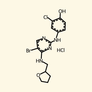 Cl.Oc1ccc(Nc2ncc(Br)c(NCC3CCCO3)n2)cc1Cl